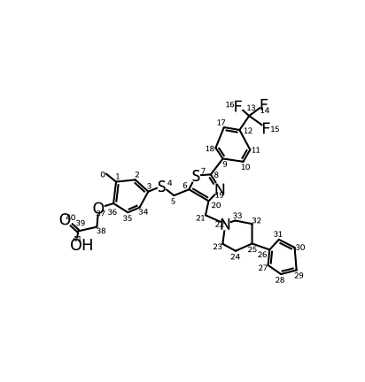 Cc1cc(SCc2sc(-c3ccc(C(F)(F)F)cc3)nc2CN2CCC(c3ccccc3)CC2)ccc1OCC(=O)O